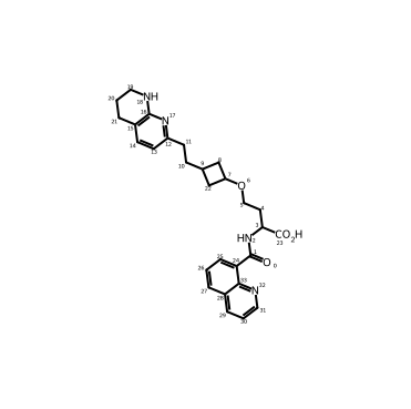 O=C(NC(CCOC1CC(CCc2ccc3c(n2)NCCC3)C1)C(=O)O)c1cccc2cccnc12